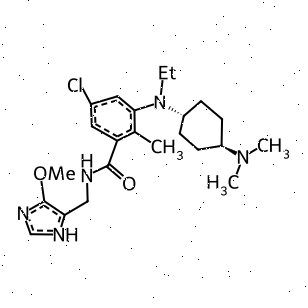 CCN(c1cc(Cl)cc(C(=O)NCc2[nH]cnc2OC)c1C)[C@H]1CC[C@H](N(C)C)CC1